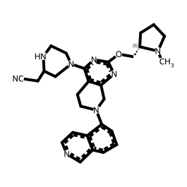 CN1CCC[C@H]1COc1nc2c(c(N3CCNC(CC#N)C3)n1)CCN(c1cccc3cnccc13)C2